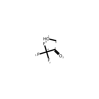 CO.O=CC(F)(F)F